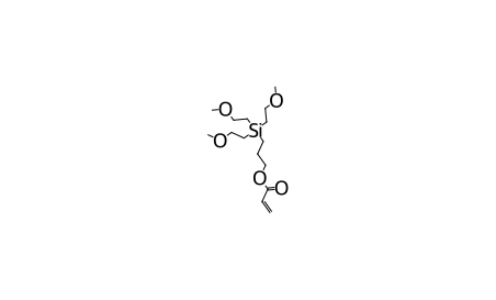 C=CC(=O)OCCC[Si](CCOC)(CCOC)CCOC